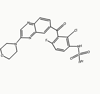 CCCS(=O)(=O)Nc1ccc(F)c(C(=O)c2ccc3ncc(N4CCOCC4)nc3c2)c1Cl